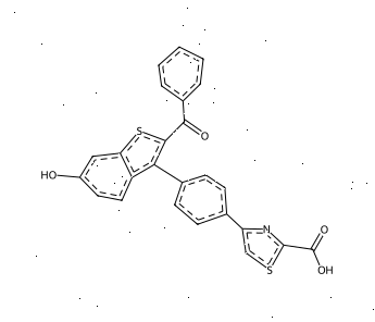 O=C(O)c1nc(-c2ccc(-c3c(C(=O)c4ccccc4)sc4cc(O)ccc34)cc2)cs1